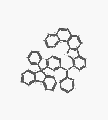 c1ccc(N(c2cccc(C3(c4ccccc4)c4ccccc4-c4ccccc43)c2)c2cccc3c2oc2c3ccc3ccc4ccccc4c32)cc1